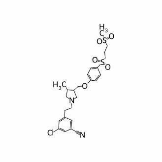 CC1CN(CCc2cc(Cl)cc(C#N)c2)CC1COc1ccc(S(=O)(=O)CCCS(C)(=O)=O)cc1